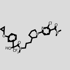 CN(C)C(=O)c1ccc(N2CCCC(CCCN(C)C(=O)[C@@](O)(c3cccc(OC4CC4)c3)C(F)(F)F)C2)nc1Cl